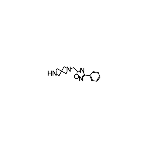 c1ccc(-c2noc(CN3CC4(CNC4)C3)n2)cc1